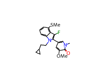 COc1cc(-c2c(F)c3c(SC)cccc3n2CCC2CC2)cn(C)c1=O